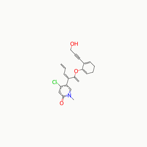 C=C/C=C(\C(=C)OC1=CCCC=C1C#CCO)c1cn(C)c(=O)cc1Cl